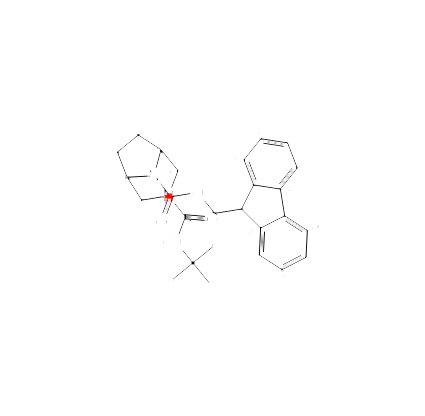 CC(C)(C)OC(=O)N1CC2CCC(C1)N2C(=O)OCC1c2ccccc2-c2ccccc21